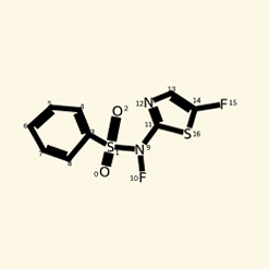 O=S(=O)(c1ccccc1)N(F)c1ncc(F)s1